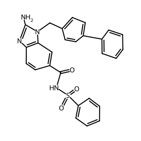 Nc1nc2ccc(C(=O)NS(=O)(=O)c3ccccc3)cc2n1Cc1ccc(-c2ccccc2)cc1